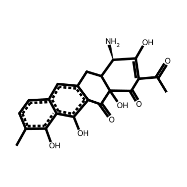 CC(=O)C1=C(O)[C@H](N)C2Cc3cc4ccc(C)c(O)c4c(O)c3C(=O)C2(O)C1=O